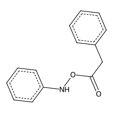 O=C(Cc1ccccc1)ONc1ccccc1